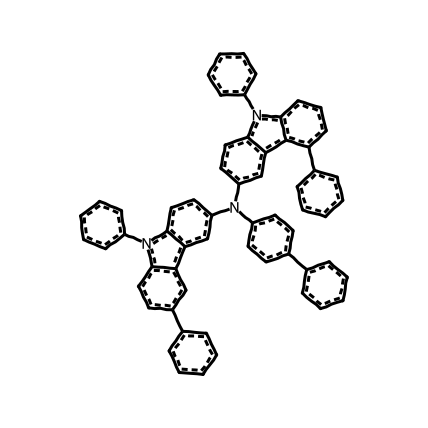 c1ccc(-c2ccc(N(c3ccc4c(c3)c3cc(-c5ccccc5)ccc3n4-c3ccccc3)c3ccc4c(c3)c3c(-c5ccccc5)cccc3n4-c3ccccc3)cc2)cc1